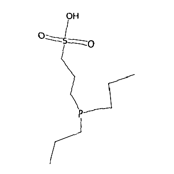 CCCP(CCC)CCCS(=O)(=O)O